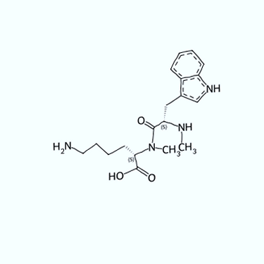 CN[C@@H](Cc1c[nH]c2ccccc12)C(=O)N(C)[C@@H](CCCCN)C(=O)O